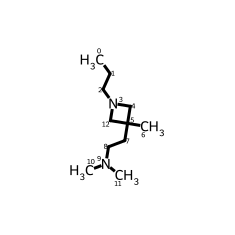 CCCN1CC(C)(CCN(C)C)C1